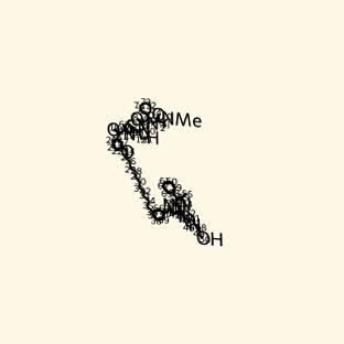 CN[C@@H](C)C(=O)N[C@H](C(=O)N1CCC[C@H]1c1nc(C(=O)c2cccc(OCCCCCCCCCCCc3cccc(-c4cc(N5CCN(CCO)CC5)n5nc(C)c(-c6ccccc6)c5n4)c3)c2)cs1)C1CCCCC1